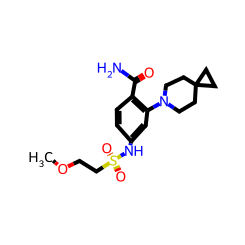 COCCS(=O)(=O)Nc1ccc(C(N)=O)c(N2CCC3(CC2)CC3)c1